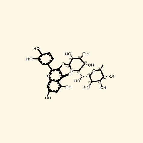 C[C@@H]1O[C@@H](C(O)[C@@H]2O[C@@H](Oc3c(-c4ccc(O)c(O)c4)oc4cc(O)cc(O)c4c3=O)[C@H](O)[C@@H](O)[C@@H]2O)[C@H](O)[C@H](O)[C@H]1O